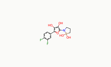 Oc1c(-c2ccc(F)c(F)c2)oc(N2CCCS2(O)O)c1O